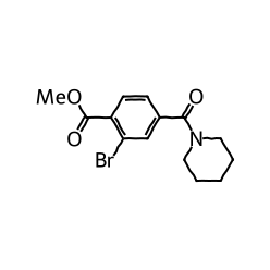 COC(=O)c1ccc(C(=O)N2CCCCC2)cc1Br